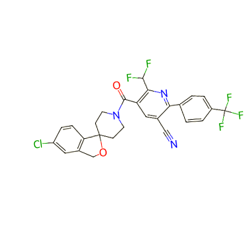 N#Cc1cc(C(=O)N2CCC3(CC2)OCc2cc(Cl)ccc23)c(C(F)F)nc1-c1ccc(C(F)(F)F)cc1